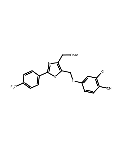 COCc1nc(-c2ccc(C(F)(F)F)cc2)sc1COc1ccc(C#N)c(Cl)c1